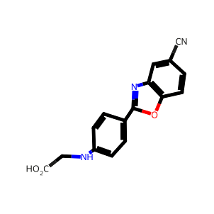 N#Cc1ccc2oc(-c3ccc(NCC(=O)O)cc3)nc2c1